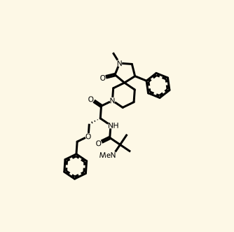 CNC(C)(C)C(=O)N[C@H](COCc1ccccc1)C(=O)N1CCCC2(C1)C(=O)N(C)CC2c1ccccc1